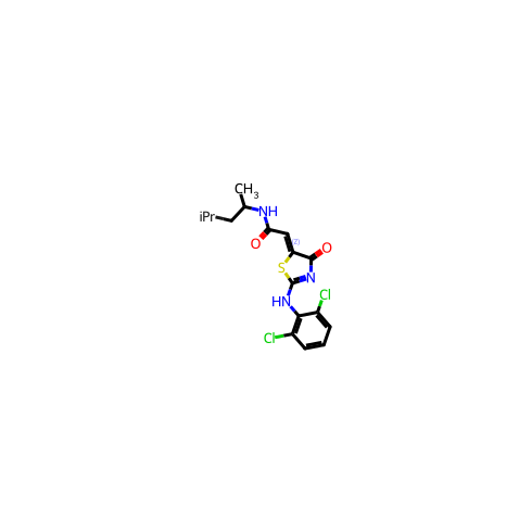 CC(C)CC(C)NC(=O)/C=C1\SC(Nc2c(Cl)cccc2Cl)=NC1=O